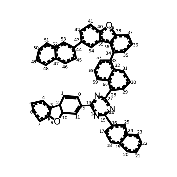 C1=CC2c3ccccc3OC2C=C1c1nc(-c2ccc3ccccc3c2)nc(-c2cccc3c(-c4cccc5oc6ccc(-c7ccc8ccccc8c7)cc6c45)cccc23)n1